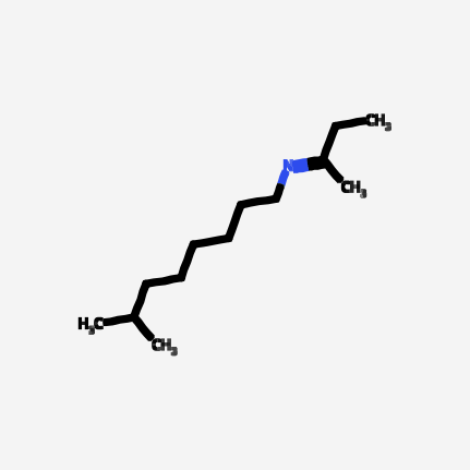 CC/C(C)=N/CCCCCCC(C)C